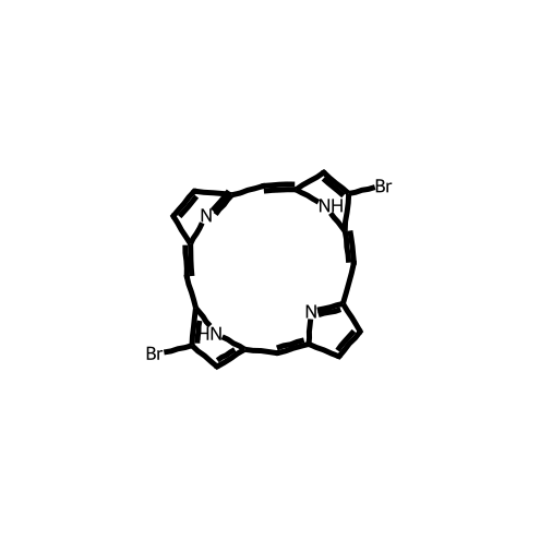 Brc1cc2cc3nc(cc4[nH]c(cc5nc(cc1[nH]2)C=C5)cc4Br)C=C3